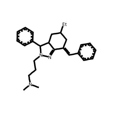 CCC1CC(=Cc2ccccc2)C2=NN(CCCN(C)C)C(c3ccccc3)C2C1